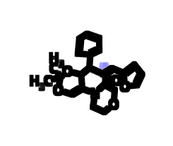 CC1(C)OC=C(N2CCOCC2)C(C(/C(=C/c2ccco2)N=O)c2ccccc2)O1